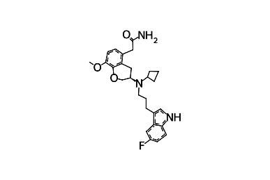 COc1ccc(CC(N)=O)c2c1OC[C@H](N(CCCc1c[nH]c3ccc(F)cc13)C1CCC1)C2